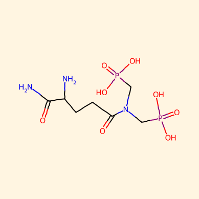 NC(=O)C(N)CCC(=O)N(CP(=O)(O)O)CP(=O)(O)O